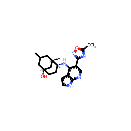 CC1C[C@H]2C[C@](O)(CC[C@@H]2Nc2c(-c3noc(C(Cl)(Cl)Cl)n3)cnc3[nH]ccc23)C1